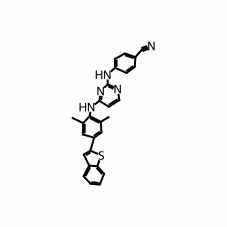 Cc1cc(-c2cc3ccccc3s2)cc(C)c1Nc1ccnc(Nc2ccc(C#N)cc2)n1